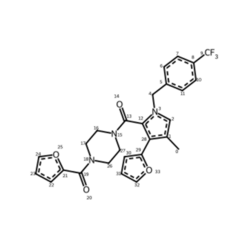 Cc1cn(Cc2ccc(C(F)(F)F)cc2)c(C(=O)N2CCN(C(=O)c3ccco3)CC2)c1-c1ccco1